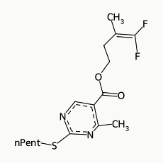 CCCCCSc1ncc(C(=O)OCCC(C)=C(F)F)c(C)n1